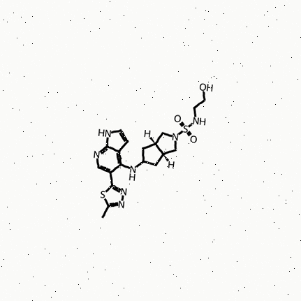 Cc1nnc(-c2cnc3[nH]ccc3c2NC2C[C@@H]3CN(S(=O)(=O)NCCO)C[C@@H]3C2)s1